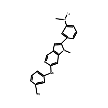 CC(=O)N(C)c1cccc(-c2cc3cnc(Nc4cccc(O)c4)cc3n2C)c1